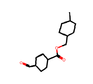 CC1CCC(COC(=O)C2CCC(C=O)CC2)CC1